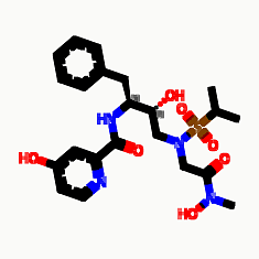 CC(C)S(=O)(=O)N(CC(=O)N(C)O)C[C@@H](O)[C@H](Cc1ccccc1)NC(=O)c1cc(O)ccn1